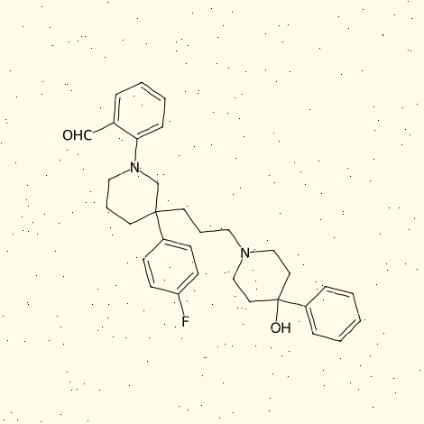 O=Cc1ccccc1N1CCCC(CCCN2CCC(O)(c3ccccc3)CC2)(c2ccc(F)cc2)C1